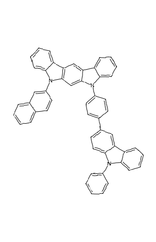 c1ccc(-n2c3ccccc3c3cc(-c4ccc(-n5c6ccccc6c6cc7c8ccccc8n(-c8ccc9ccccc9c8)c7cc65)cc4)ccc32)cc1